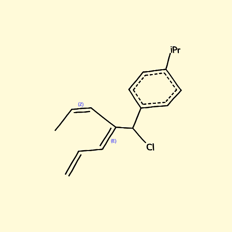 C=C/C=C(\C=C/C)C(Cl)c1ccc(C(C)C)cc1